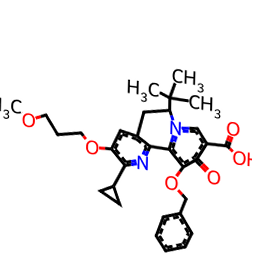 COCCCOc1cc2c(nc1C1CC1)-c1c(OCc3ccccc3)c(=O)c(C(=O)O)cn1C(C(C)(C)C)C2